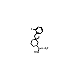 CC(C)(C)N(C(=O)O)C1CCCC(F)(Cc2ccccc2F)C1